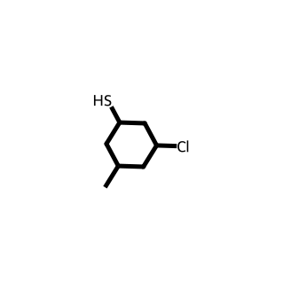 CC1CC(S)CC(Cl)C1